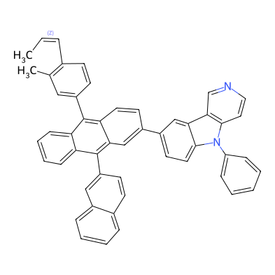 C/C=C\c1ccc(-c2c3ccccc3c(-c3ccc4ccccc4c3)c3cc(-c4ccc5c(c4)c4cnccc4n5-c4ccccc4)ccc23)cc1C